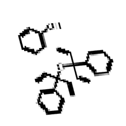 C=CC(C=C)(OC(C=C)(C=C)c1ccccc1)c1ccccc1.Oc1ccccc1